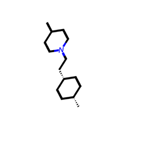 CC1CCN(CC[C@H]2CC[C@@H](C)CC2)CC1